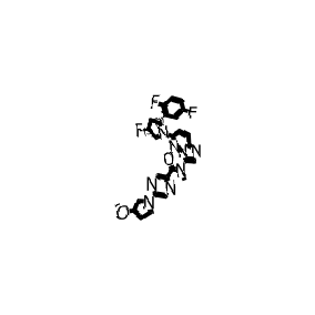 COC1CCN(c2cnc(C(=O)N(C)c3cnc4ccc(N5C[C@@H](F)C[C@@H]5c5cc(F)ccc5F)nn34)cn2)C1